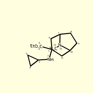 CCOC(=O)C1(NC2CC2)CC2CCC(C1)N2C